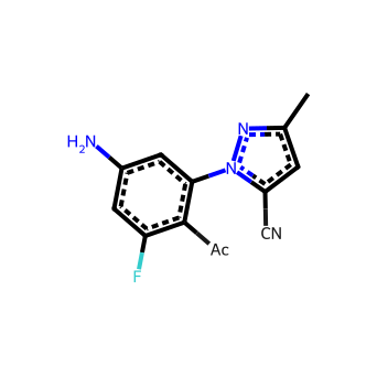 CC(=O)c1c(F)cc(N)cc1-n1nc(C)cc1C#N